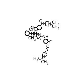 Cc1cccc(C)c1NC(=O)c1cnc(Nc2ccc(OCCN3CCN(C(C)C)CC3)c(F)c2)nc1Oc1ccc(C(=O)N2CCN(C(C)C)CC2)cc1Cl